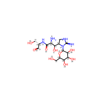 N=C1NCC(C(O)[C@H](N)C(=O)N[C@H]([C]=O)CO)N1C1OC(CO)C(O)C(O)C1O